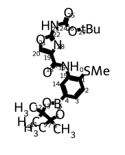 CSc1ccc(B2OC(C)(C)C(C)(C)O2)cc1NC(=O)c1coc(NC(=O)OC(C)(C)C)n1